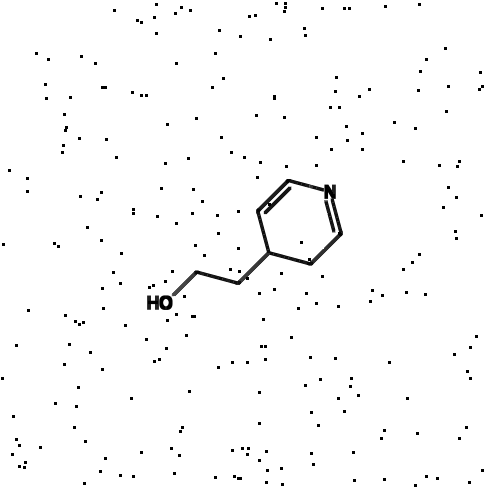 OCCC1C=CN=CC1